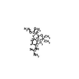 CC(C)(C)OC(=O)C(C)(Cc1ccc(NC(N)=S)cc1)C(=O)ON